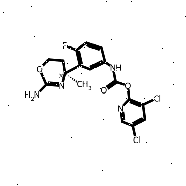 C[C@@]1(c2cc(NC(=O)Oc3ncc(Cl)cc3Cl)ccc2F)CCOC(N)=N1